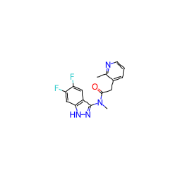 Cc1ncccc1CC(=O)N(C)c1n[nH]c2cc(F)c(F)cc12